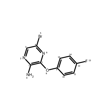 Nc1ncc(Br)nc1Oc1ccc(F)cc1